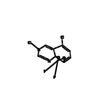 FC1(F)OC2=CC=C(Cl)C3=CN(Cl)C=NC23O1